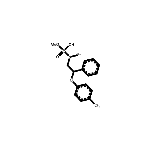 CCN(CC(Oc1ccc(C(F)(F)F)cc1)c1ccccc1)P(=O)(O)OC